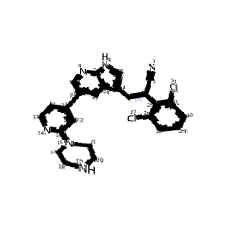 N#C/C(=C\c1c[nH]c2ncc(-c3ccnc(N4CCNCC4)c3)cc12)c1c(Cl)cccc1Cl